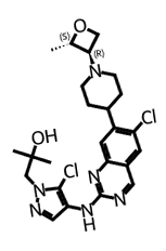 C[C@@H]1OC[C@H]1N1CCC(c2cc3nc(Nc4cnn(CC(C)(C)O)c4Cl)ncc3cc2Cl)CC1